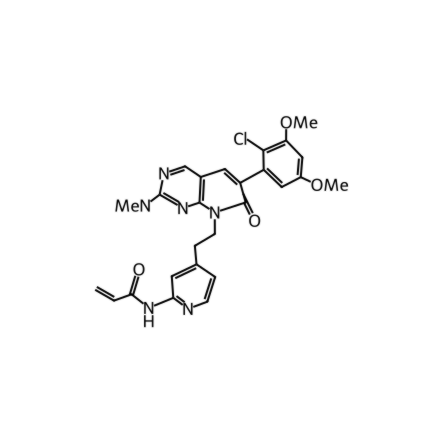 C=CC(=O)Nc1cc(CCn2c(=O)c(-c3cc(OC)cc(OC)c3Cl)cc3cnc(NC)nc32)ccn1